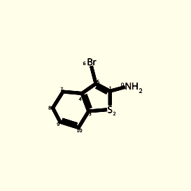 Nc1sc2c(c1Br)CCC=C2